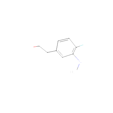 CNc1cc(CCO)ccc1F